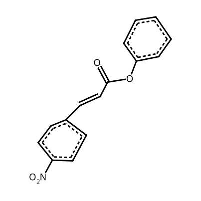 O=C(/C=C/c1ccc([N+](=O)[O-])cc1)Oc1ccccc1